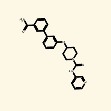 NC(=O)c1cccc(-c2cccc(OC3CCN(C(=O)Nc4cccnc4)CC3)c2)c1